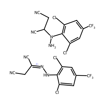 N#CC/C(C#N)=N\Nc1c(Cl)cc(C(F)(F)F)cc1Cl.N#CCC(C#N)N(N)c1c(Cl)cc(C(F)(F)F)cc1Cl